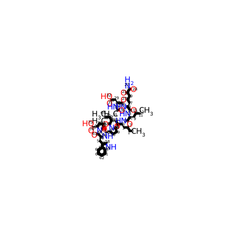 CCCC[C@H](NC(=O)[C@H](CCCC)NC(=O)[C@H](CCCC(=O)C(N)=O)NC(=O)[C@H](CC(=O)O)NC(C)=O)C(=O)C[C@@H](CC(C)C)C(=O)N1CCC[C@H]1C(=O)N[C@@H](Cc1c[nH]c2ccccc12)C(=O)N1CCC[C@H]1C(=O)O